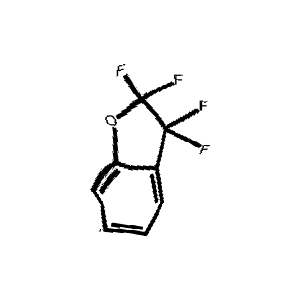 FC1(F)Oc2c[c]ccc2C1(F)F